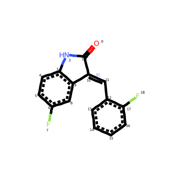 O=C1Nc2ccc(F)cc2/C1=C\c1ccccc1F